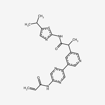 C=CC(=O)Nc1cnc(-c2cncc(C(C)C(=O)Nc3ncc(C(C)C)s3)c2)cn1